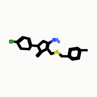 C=C1C(CSCc2ccc(C)cc2)=C(N)CC1C1=CC=C(Cl)CC1